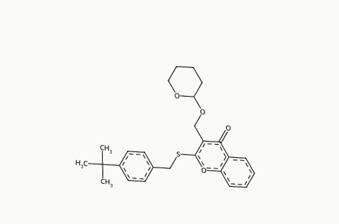 CC(C)(C)c1ccc(CSc2oc3ccccc3c(=O)c2COC2CCCCO2)cc1